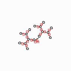 O=C(C=Cc1ccc(OCc2cc(OCc3cc(OCc4ccccc4)cc(OCc4ccccc4)c3)cc(OCc3cc(OCc4ccccc4)cc(OCc4ccccc4)c3)c2)cc1)c1ccc(OCc2cc(OCc3cc(OCc4ccccc4)cc(OCc4ccccc4)c3)cc(OCc3cc(OCc4ccccc4)cc(OCc4ccccc4)c3)c2)cc1O